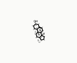 C[C@H]1CC[C@H]2[C@@H]3CC=C4C[C@@H](O)CC[C@]4(C)[C@H]3CC[C@]12C